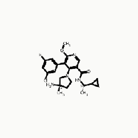 COc1ncc(C(=O)N[C@@H](C)C2CC2)c(N2CC[C@](C)(N)C2)c1-c1cc(F)cc(Cl)c1